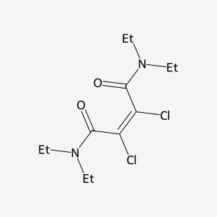 CCN(CC)C(=O)/C(Cl)=C(/Cl)C(=O)N(CC)CC